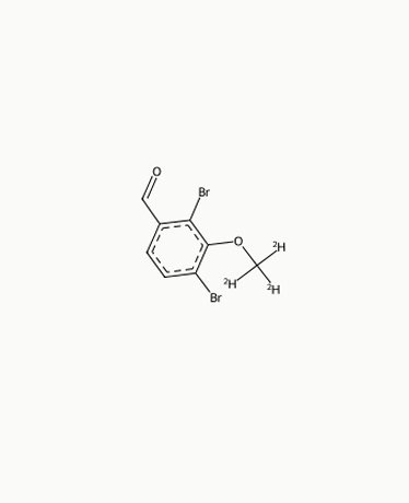 [2H]C([2H])([2H])Oc1c(Br)ccc(C=O)c1Br